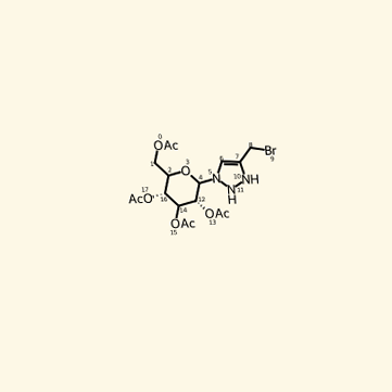 CC(=O)OCC1OC(N2C=C(CBr)NN2)[C@H](OC(C)=O)C(OC(C)=O)[C@@H]1OC(C)=O